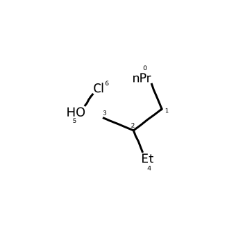 CCCCC(C)CC.OCl